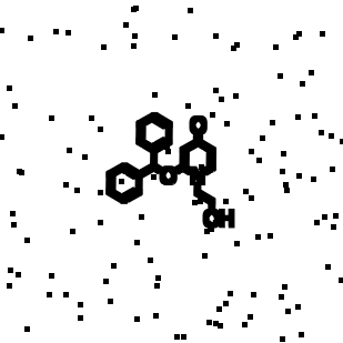 O=c1ccn(CCO)c(OC(c2ccccc2)c2ccccc2)c1